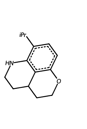 CC(C)c1ccc2c3c1NCCC3CCO2